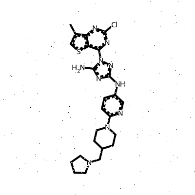 Cc1csc2c(-n3nc(Nc4ccc(N5CCC(CN6CCCC6)CC5)nc4)nc3N)nc(Cl)nc12